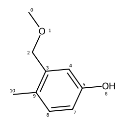 COCc1cc(O)ccc1C